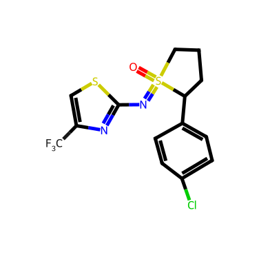 O=S1(=Nc2nc(C(F)(F)F)cs2)CCCC1c1ccc(Cl)cc1